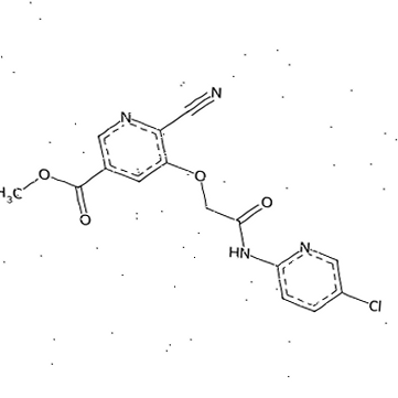 COC(=O)c1cnc(C#N)c(OCC(=O)Nc2ccc(Cl)cn2)c1